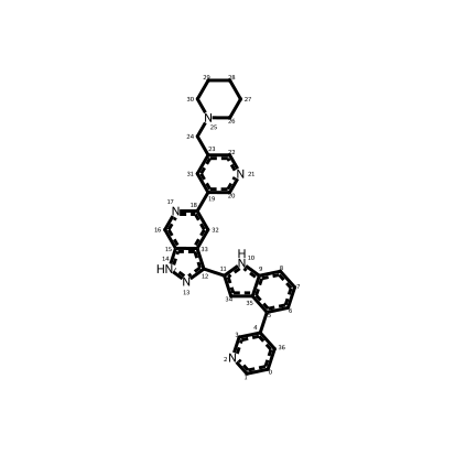 c1cncc(-c2cccc3[nH]c(-c4n[nH]c5cnc(-c6cncc(CN7CCCCC7)c6)cc45)cc23)c1